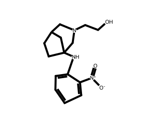 O=[N+]([O-])c1ccccc1NC12CCC(CN(CCO)C1)C2